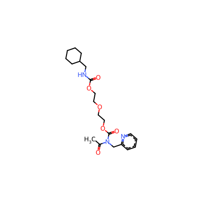 CC(=O)N(Cc1ccccn1)C(=O)OCCOCCOC(=O)NCC1CCCCC1